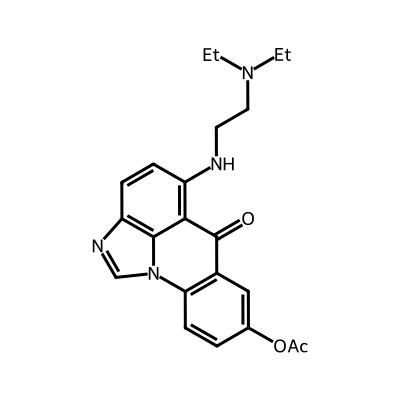 CCN(CC)CCNc1ccc2ncn3c4ccc(OC(C)=O)cc4c(=O)c1c23